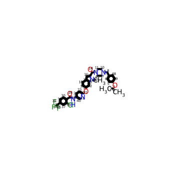 CC(C)Oc1ccc(CN2CCN(C(=O)c3cc4ccc(Oc5ccc(NC(=O)c6ccc(C(F)(F)F)cc6Cl)cn5)cc4n3C)CC2)cc1